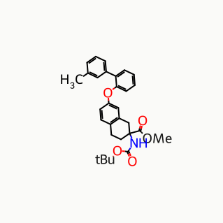 COC(=O)C1(NC(=O)OC(C)(C)C)CCc2ccc(Oc3ccccc3-c3cccc(C)c3)cc2C1